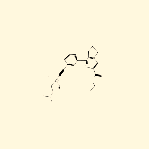 CCOC(=O)c1cc2c(c(-c3cccc(C#C[C@@](O)(C=O)CCN(C)C)c3)n1)CCC2